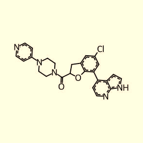 O=C(C1Cc2cc(Cl)cc(-c3ccnc4[nH]ccc34)c2O1)N1CCN(c2ccncc2)CC1